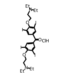 CCN(CC)CCOc1c(I)cc(C(=O)c2cc(I)c(OCCN(CC)CC)c(I)c2)cc1I.Cl